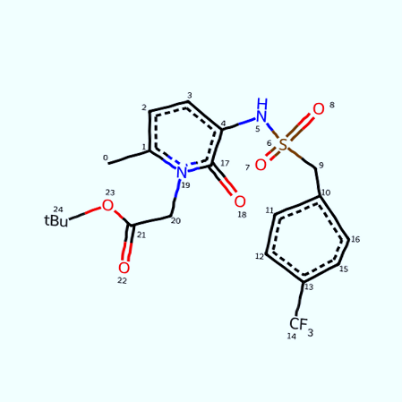 Cc1ccc(NS(=O)(=O)Cc2ccc(C(F)(F)F)cc2)c(=O)n1CC(=O)OC(C)(C)C